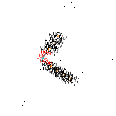 CC(C)(C)P(C(C)(C)C)C(C)(C)C.CC(C)(C)P(C(C)(C)C)C(C)(C)C.CC(C)(C)P(C(C)(C)C)C(C)(C)C.CC(C)(C)P(C(C)(C)C)C(C)(C)C.CC(C)(C)P(C(C)(C)C)C(C)(C)C.CC(C)(C)P(C(C)(C)C)C(C)(C)C.CC(C)(C)P(C(C)(C)C)C(C)(C)C.OB(O)F.OB(O)F.OB(O)F.OB(O)F